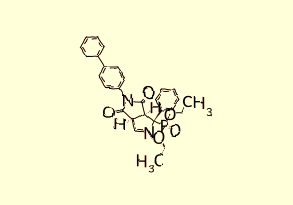 CCOP(=O)(OCC)[C@]1(c2ccccc2)N=C[C@H]2C(=O)N(c3ccc(-c4ccccc4)cc3)C(=O)[C@H]21